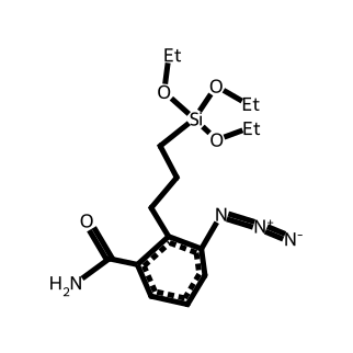 CCO[Si](CCCc1c(N=[N+]=[N-])cccc1C(N)=O)(OCC)OCC